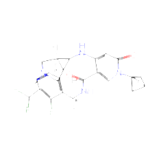 C[C@@H](NC(=O)c1cn(C23CC(C2)C3)c(=O)cc1NC1[C@H]2CN(C)C[C@@H]12)c1cccc(C(F)F)c1F